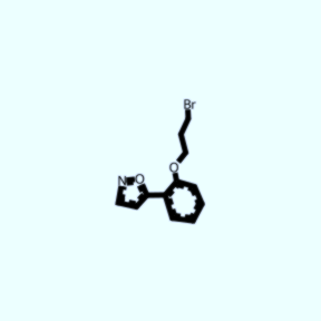 BrCCCOc1ccccc1-c1ccno1